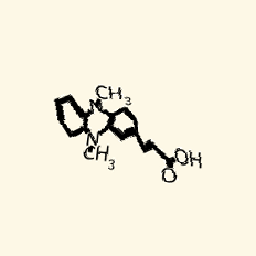 CN1c2ccccc2N(C)c2cc(/C=C/C(=O)O)ccc21